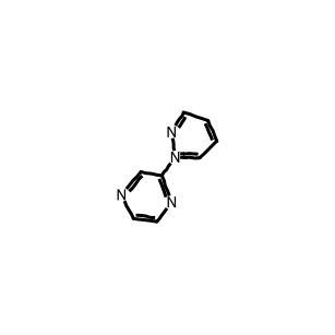 c1cc[n+](-c2cnccn2)nc1